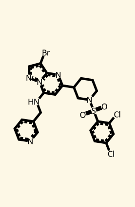 O=S(=O)(c1ccc(Cl)cc1Cl)N1CCCC(c2cc(NCc3cccnc3)n3ncc(Br)c3n2)C1